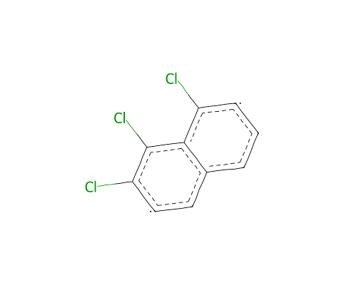 Clc1[c]cc2cc[c]c(Cl)c2c1Cl